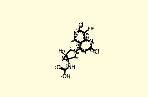 O=C(O)N[C@@]12C[C@@H]1CN(c1nc(Cl)nc3c(F)c(Cl)ncc13)C2